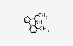 C=CC1Nc2c(C)cccc2C2C=CCC12